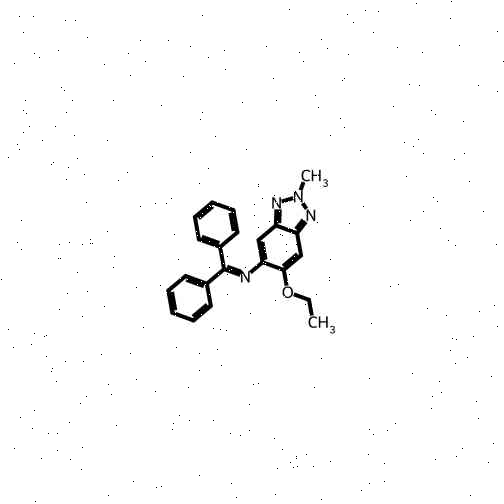 CCOc1cc2nn(C)nc2cc1N=C(c1ccccc1)c1ccccc1